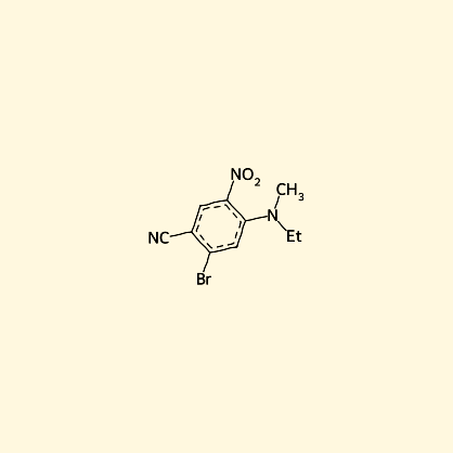 CCN(C)c1cc(Br)c(C#N)cc1[N+](=O)[O-]